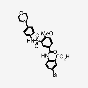 COc1ccc(C(=O)Nc2ccc(Br)cc2C(=O)O)cc1S(=O)(=O)Nc1ccc(N2CCOCC2)cc1